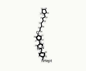 CCCCCCCc1ccc(-c2ncc(-c3ccc(OCCCCCCCC4CCCC4)cc3)cn2)cc1